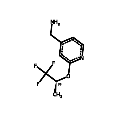 C[C@@H](Oc1cc(CN)ccn1)C(F)(F)F